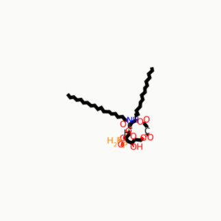 CCCCCCCCCCCCC/C=C/[C@H]1OC(=O)CCC(=O)OCC2O[C@@H](OC[C@@H]1NC(=O)CCCCCCCCCCCCCCCCC)C(OP)[C@@H](P=O)[C@@H]2O